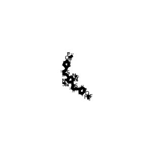 CC(F)(F)Oc1ccc(-c2ccc(-c3c4c(c(-c5ccc(-c6ccc(OC(C)(F)F)cc6)s5)c5nsnc35)N=S=N4)s2)cc1